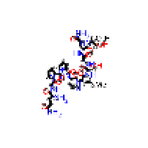 CSCC[C@H](NC(=O)[C@H](CC(C)C)NC(=O)[C@@H]1CCCN1C(=O)[C@@H]1CCCN1C(=O)CNC(=O)[C@@H](N)CCC(N)=O)C(=O)N[C@@H](CO)C(=O)NCC(=O)N[C@@H](CCC(N)=O)C(=O)N[C@@H](CO)C(=O)O